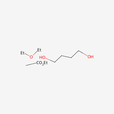 CCOC(C)=O.CCOCC.OCCCCO